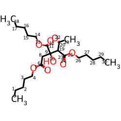 CCCCCOC(=O)CC(O)(C(=O)OCCCCC)C(C(C)=O)C(=O)OCCCCC